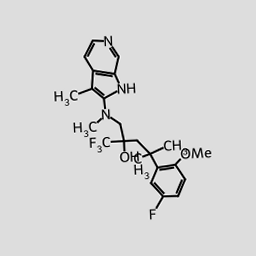 COc1ccc(F)cc1C(C)(C)CC(O)(CN(C)c1[nH]c2cnccc2c1C)C(F)(F)F